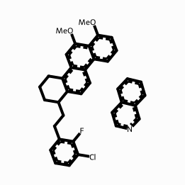 COc1cccc2c1c(OC)cc1c3c(ccc12)C(CCc1cccc(Cl)c1F)CCC3.c1ccc2cnccc2c1